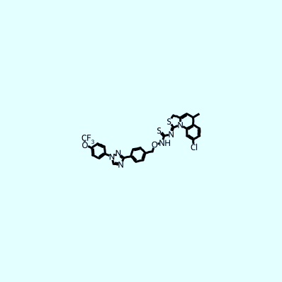 CC1C=C2CS/C(=N\C(=S)NOCc3ccc(-c4ncn(-c5ccc(OC(F)(F)F)cc5)n4)cc3)N2c2cc(Cl)ccc21